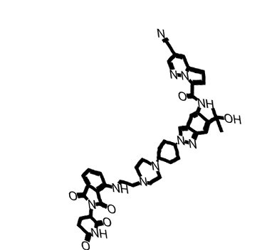 CC(C)(O)c1cc2nn([C@H]3CC[C@H](N4CCN(CCNc5cccc6c5C(=O)N(C5CCC(=O)NC5=O)C6=O)CC4)CC3)cc2cc1NC(=O)c1ccc2cc(C#N)cnn12